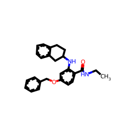 CCNC(=O)c1ccc(OCc2ccccc2)cc1NC1CCc2ccccc2C1